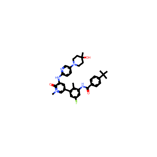 Cc1c(NC(=O)c2ccc(C(C)(C)C)cc2)cc(F)cc1-c1cc(Nc2ccc(N3CCC(C)(O)CC3)cn2)c(=O)n(C)c1